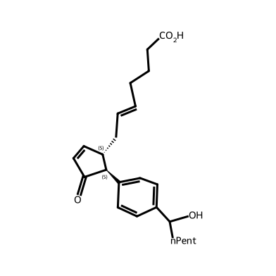 CCCCCC(O)c1ccc([C@H]2C(=O)C=C[C@@H]2CC=CCCCC(=O)O)cc1